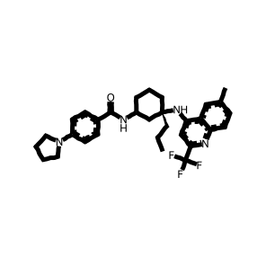 CCC[C@]1(Nc2cc(C(F)(F)F)nc3ccc(C)cc23)CCCC(NC(=O)c2ccc(N3CCCC3)cc2)C1